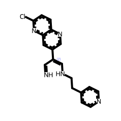 N=C/C(=C\NCCc1ccncc1)c1cnc2ccc(Cl)nc2c1